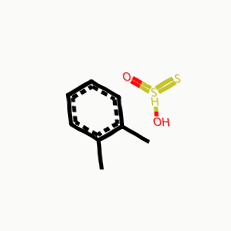 Cc1ccccc1C.O=[SH](O)=S